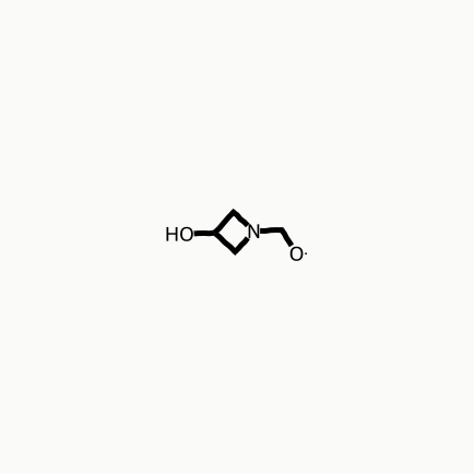 [O]CN1CC(O)C1